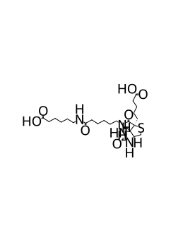 O=C(O)CCCCCNC(=O)CCCCCNC(=O)[C@@]1(CCCCC(=O)O)SC[C@@H]2NC(=O)N[C@@H]21